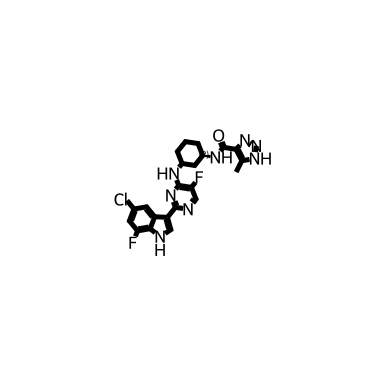 Cc1[nH]nnc1C(=O)N[C@@H]1CCCC(Nc2nc(-c3c[nH]c4c(F)cc(Cl)cc34)ncc2F)C1